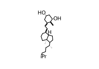 C=C1/C(=C\C=C2/CCC[C@]3(C)C([C@H](C)CCCC(C)C)CC[C@@H]23)C[C@H](O)C[C@@H]1O